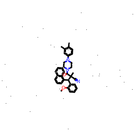 COc1ccccc1C(c1cccc2ccccc12)C(C)(C#N)C(=O)N1CCN(c2ccc(C)c(C)c2)CC1